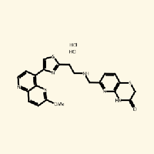 COc1ccc2nccc(-c3csc(CCNCc4ccc5c(n4)NC(=O)CS5)n3)c2n1.Cl.Cl